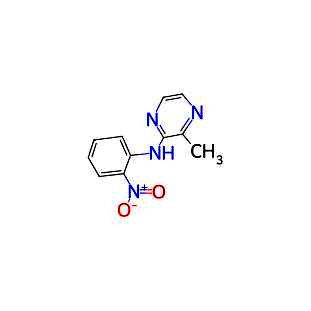 Cc1nccnc1Nc1ccccc1[N+](=O)[O-]